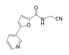 N#CCNC(=O)c1ccc(-c2cccnc2)o1